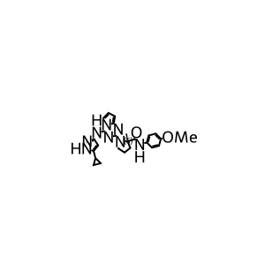 COc1ccc(NC(=O)[C@]2(C)CCCN2c2nc(Nc3cc(C4CC4)[nH]n3)n3cccc3n2)cc1